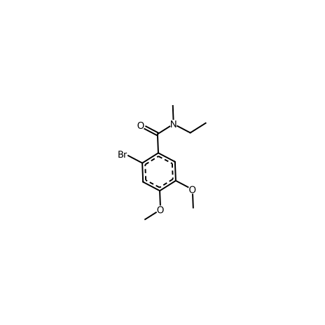 CCN(C)C(=O)c1cc(OC)c(OC)cc1Br